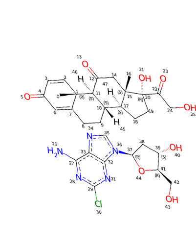 C[C@]12C=CC(=O)C=C1CC[C@@H]1[C@@H]2C(=O)C[C@@]2(C)[C@H]1CC[C@]2(O)C(=O)CO.Nc1nc(Cl)nc2c1ncn2[C@H]1C[C@H](O)[C@@H](CO)O1